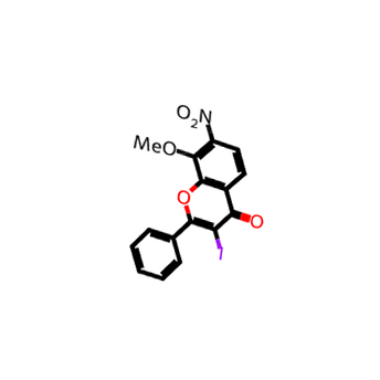 COc1c([N+](=O)[O-])ccc2c(=O)c(I)c(-c3ccccc3)oc12